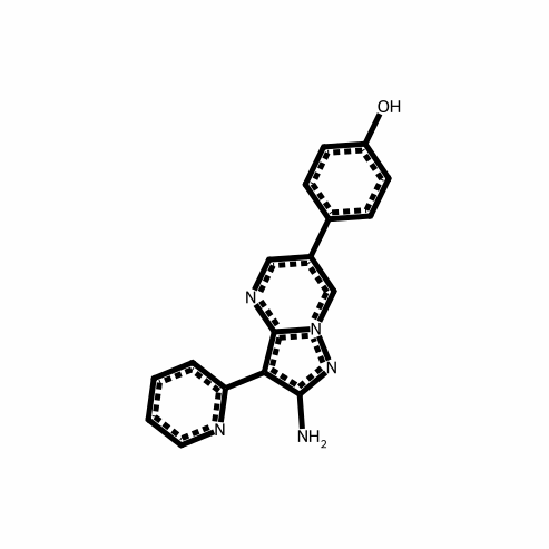 Nc1nn2cc(-c3ccc(O)cc3)cnc2c1-c1ccccn1